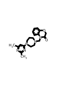 Cc1cc(N2CCCN(CN3C(=O)COc4ccccc43)CC2)nc(C)n1